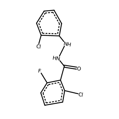 O=C(NNc1ccccc1Cl)c1c(F)cccc1Cl